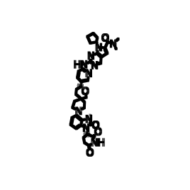 CN(C)C(=O)c1cc2cnc(Nc3ccc([C@@H]4CCC5(CCN(c6cccc7c6n(C)c(=O)n7[C@@H]6CCC(=O)NC6=O)CC5)CO4)cn3)nc2n1C1CCCC1